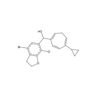 OC(C1=CCC=C(C2CC2)C=C1)c1cc(Br)c2c(c1Cl)OCC2